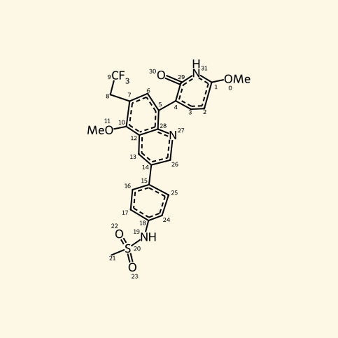 COc1ccc(-c2cc(CC(F)(F)F)c(OC)c3cc(-c4ccc(NS(C)(=O)=O)cc4)cnc23)c(=O)[nH]1